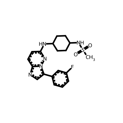 CS(=O)(=O)NC1CCC(Nc2ccc3ncc(-c4cccc(F)c4)n3n2)CC1